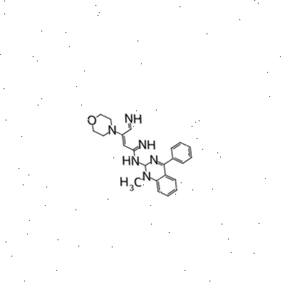 CN1c2ccccc2C(c2ccccc2)=NC1NC(=N)/C=C(\C=N)N1CCOCC1